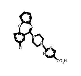 O=C(O)c1cnc(N2CCN(C3=Nc4ccccc4Oc4ccc(Cl)cc43)CC2)nc1